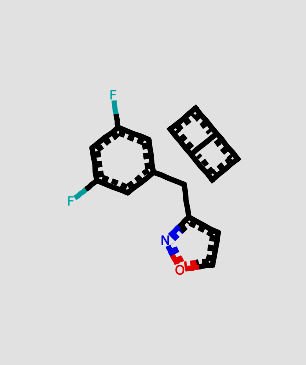 Fc1cc(F)cc(Cc2ccon2)c1.c1cc2ccc1-2